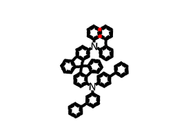 c1ccc(-c2ccc(N(c3cccc(-c4ccccc4)c3)c3cccc4c3-c3ccccc3C43c4ccccc4-c4ccc(N(c5ccccc5)c5ccccc5-c5ccccc5)cc43)cc2)cc1